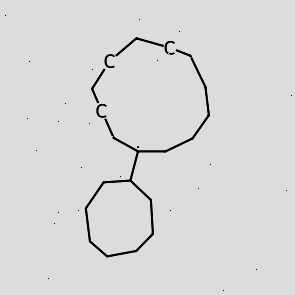 C1CCCCC[C](C2CCCCCCC2)CCCCC1